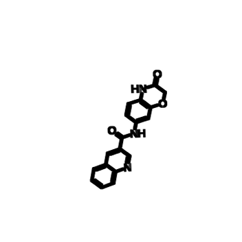 O=C1COc2cc(NC(=O)c3cnc4ccccc4c3)ccc2N1